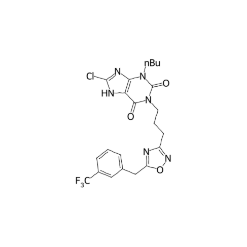 CCCCn1c(=O)n(CCCc2noc(Cc3cccc(C(F)(F)F)c3)n2)c(=O)c2[nH]c(Cl)nc21